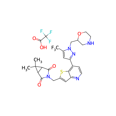 CC1(C)C2C(=O)N(Cc3cc4nccc(-c5cc(C(F)(F)F)n(CC6CNCCO6)n5)c4s3)C(=O)C21.O=C(O)C(F)(F)F